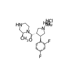 C[C@H]1CNCCN1C(=O)[C@@H]1CN(C(C)(C)C)C[C@H]1c1ccc(F)cc1F.Cl.Cl